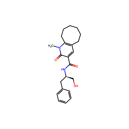 Cn1c2c(cc(C(=O)N[C@@H](CO)Cc3ccccc3)c1=O)CCCCCC2